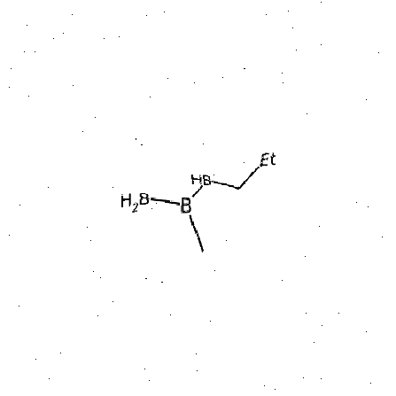 BB(C)BCCC